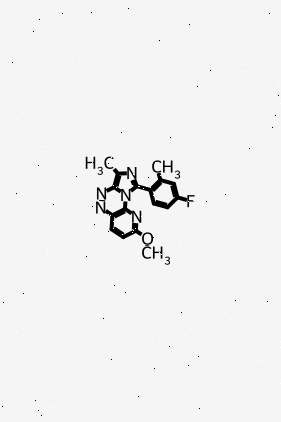 COc1ccc2nnc3c(C)nc(-c4ccc(F)cc4C)n3c2n1